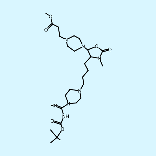 COC(=O)CCN1CCN(C2OC(=O)N(C)C2CCCCN2CCN(C(=N)NC(=O)OC(C)(C)C)CC2)CC1